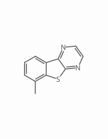 Cc1cccc2c1sc1nccnc12